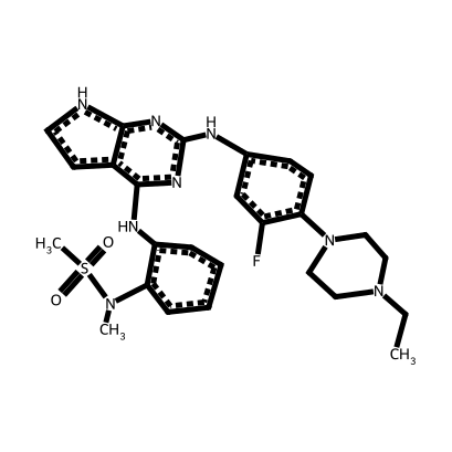 CCN1CCN(c2ccc(Nc3nc(Nc4ccccc4N(C)S(C)(=O)=O)c4cc[nH]c4n3)cc2F)CC1